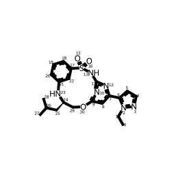 CCn1nccc1-c1cc2nc(n1)NS(=O)(=O)c1cccc(c1)N[C@H](CC(C)C)CO2